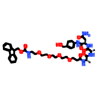 C[C@H](NC(=O)CCOCCOCCOCCOCCNC(=O)OCC1c2ccccc2-c2ccccc21)C(=O)N[C@@H](C)C(=O)N[C@@H](CC(N)=O)C(=O)Nc1ccc(CO)cc1